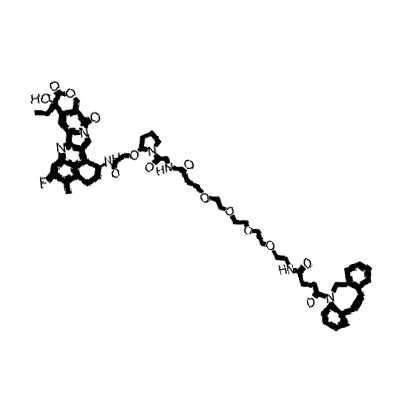 CC[C@@]1(O)C(=O)OCc2c1cc1n(c2=O)Cc2c-1nc1cc(F)c(C)c3c1c2[C@@H](NC(=O)COC1CCCN1C(=O)CNC(=O)CCOCCOCCOCCOCCNC(=O)CCC(=O)N1Cc2ccccc2C#Cc2ccccc21)CC3